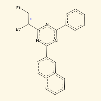 CC/C=C(\CC)c1nc(-c2ccccc2)nc(-c2ccc3ccccc3c2)n1